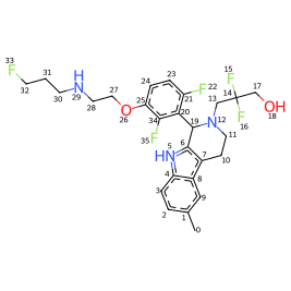 Cc1ccc2[nH]c3c(c2c1)CCN(CC(F)(F)CO)C3c1c(F)ccc(OCCNCCCF)c1F